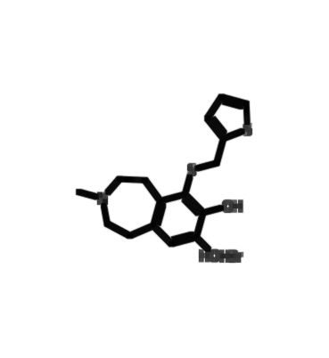 Br.CN1CCc2cc(O)c(O)c(SCc3cccs3)c2CC1